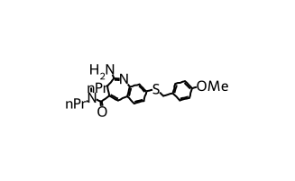 CCCN(CCC)C(=O)C1=Cc2ccc(SCc3ccc(OC)cc3)cc2N=C(N)C1